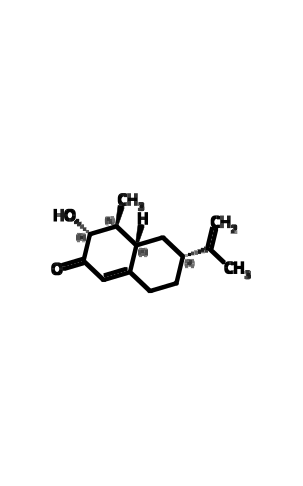 C=C(C)[C@@H]1CCC2=CC(=O)[C@H](O)[C@@H](C)[C@@H]2C1